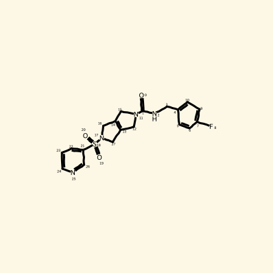 O=C(NCc1ccc(F)cc1)N1CC2=C(C1)CN(S(=O)(=O)c1cccnc1)C2